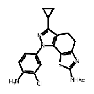 CC(=O)Nc1nc2c(s1)-c1c(c(C3CC3)nn1-c1ccc(N)c(Cl)c1)CC2